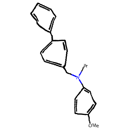 COc1ccc(N(Cc2ccc(-c3ccccc3)cc2)C(C)C)cc1